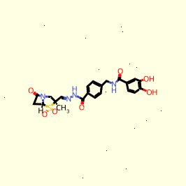 C[C@]1(/C=N/NC(=O)c2ccc(CNC(=O)c3ccc(O)c(O)c3)cc2)CN2C(=O)C[C@H]2S1(=O)=O